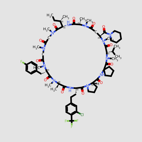 CC[C@H](C)[C@@H]1NC(=O)[C@H](C)N(C)C(=O)C[C@@H](C(=O)N2CCCCC2)N(C)C(=O)[C@H](C(C)C)N(C)C(=O)C2(CCCC2)NC(=O)[C@@H]2CCCN2C(=O)[C@H](CCc2ccc(C(F)(F)F)c(Cl)c2)NC(=O)[C@@H](C)N(C)C(=O)[C@H](Cc2ccc(F)cc2)N(C)C(=O)CN(C)C(=O)CN(C)C1=O